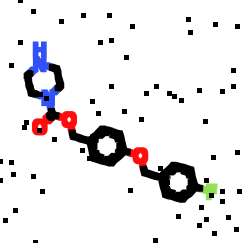 O=C(OCc1ccc(OCc2ccc(F)cc2)cc1)N1CCNCC1